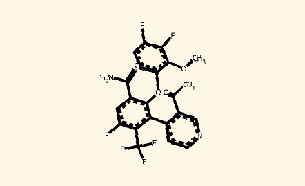 COc1c(Oc2c(C(N)=O)cc(F)c(C(F)(F)F)c2-c2ccncc2C(C)=O)ccc(F)c1F